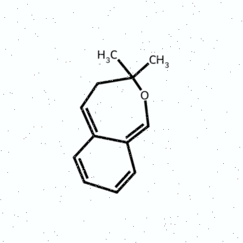 CC1(C)CC=c2ccccc2=CO1